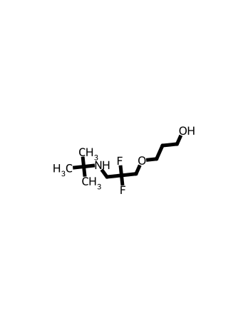 CC(C)(C)NCC(F)(F)COCCCO